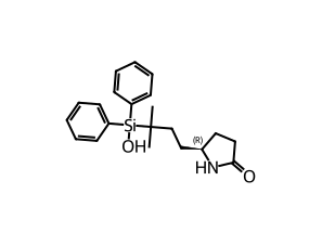 CC(C)(CC[C@H]1CCC(=O)N1)[Si](O)(c1ccccc1)c1ccccc1